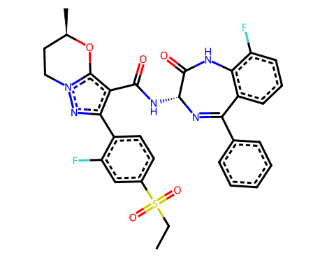 CCS(=O)(=O)c1ccc(-c2nn3c(c2C(=O)N[C@H]2N=C(c4ccccc4)c4cccc(F)c4NC2=O)O[C@H](C)CC3)c(F)c1